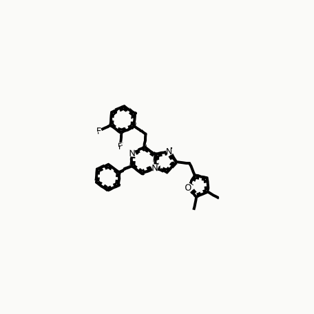 Cc1cc(Cc2cn3cc(-c4ccccc4)nc(Cc4cccc(F)c4F)c3n2)oc1C